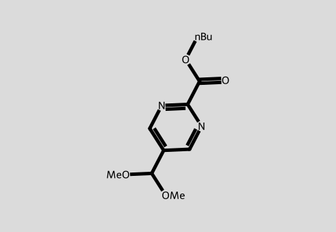 CCCCOC(=O)c1ncc(C(OC)OC)cn1